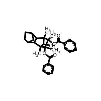 CC1C2(C)C3C4CCC(C4)C3C1(C)C(C)(OC(=O)c1ccccc1)C2(C)OC(=O)c1ccccc1